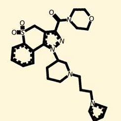 O=C(c1nn(C2CCCN(CCCn3cccc3)C2)c2c1CS(=O)(=O)c1ccccc1-2)N1CCOCC1